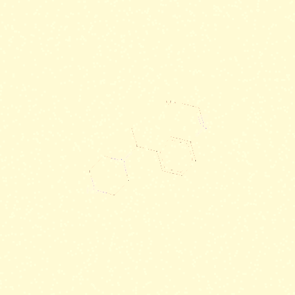 CS/C=N\c1cccc(C(C)N2CCNCC2)c1